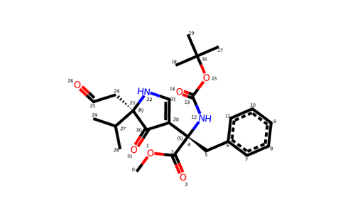 COC(=O)[C@@](Cc1ccccc1)(NC(=O)OC(C)(C)C)C1=CN[C@](CC=O)(C(C)C)C1=O